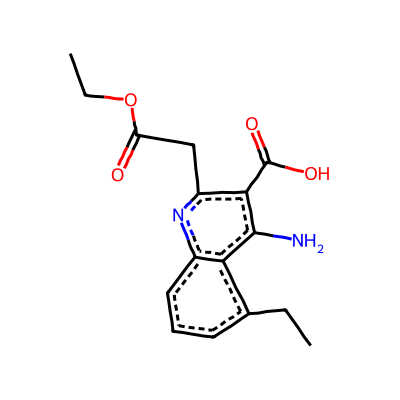 CCOC(=O)Cc1nc2cccc(CC)c2c(N)c1C(=O)O